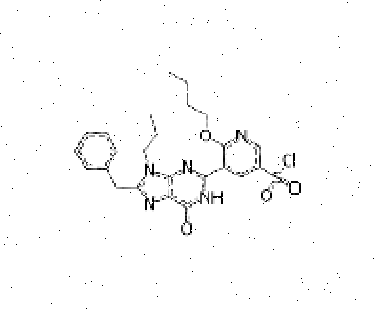 CCCCOc1ncc(S(=O)(=O)Cl)cc1-c1nc2c(nc(Cc3ccccc3)n2CCC)c(=O)[nH]1